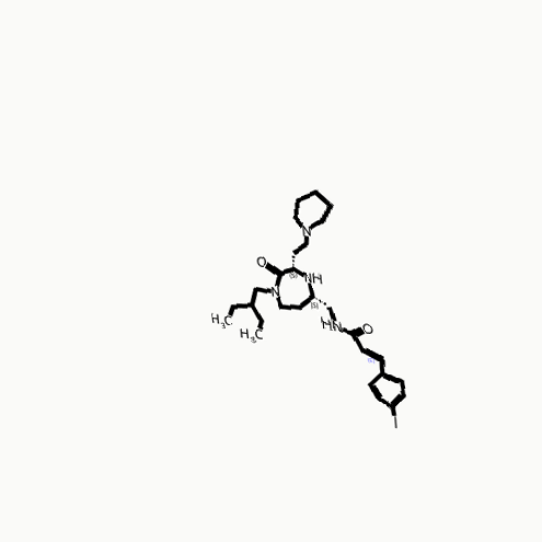 CCC(CC)CN1CC[C@@H](CNC(=O)/C=C/c2ccc(I)cc2)N[C@@H](CCN2CCCCC2)C1=O